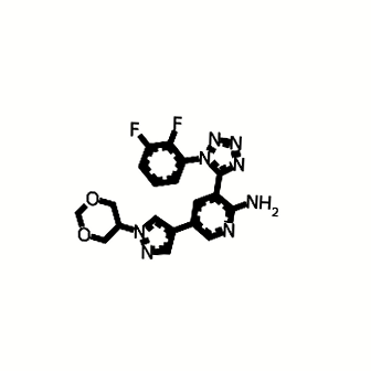 Nc1ncc(-c2cnn(C3COCOC3)c2)cc1-c1nnnn1-c1cccc(F)c1F